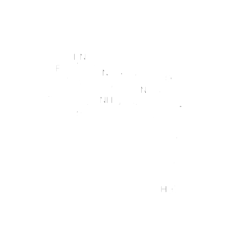 CCCCc1ccc(C(=O)N2CCC3(CC2)N=C(N)c2c(F)cccc2N3)cc1